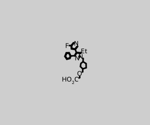 CCc1c(-c2cncc(F)c2)c(-c2ccccc2)nn1CC1CCC(COCC(=O)O)CC1